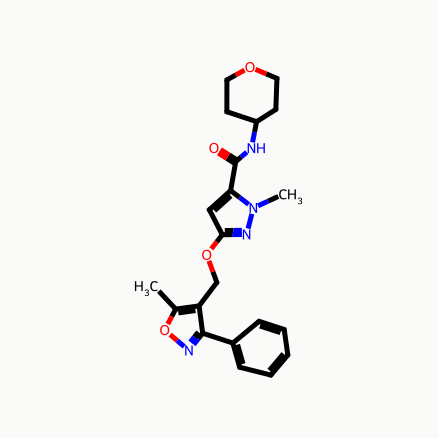 Cc1onc(-c2ccccc2)c1COc1cc(C(=O)NC2CCOCC2)n(C)n1